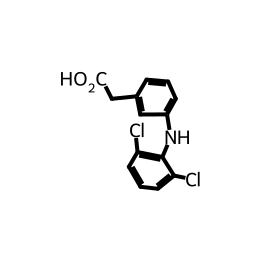 O=C(O)Cc1cccc(Nc2c(Cl)cccc2Cl)c1